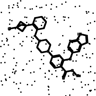 CC(C)(C)OC(=O)c1ccc(N2CCN(CC3=C(C45CC(Cl)(C4)C5)CCCC3)CC2)cc1Oc1cnc2[nH]ccc2c1